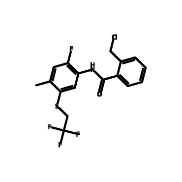 Cc1cc(F)c(NC(=O)c2ccccc2CCl)cc1SCC(F)(F)F